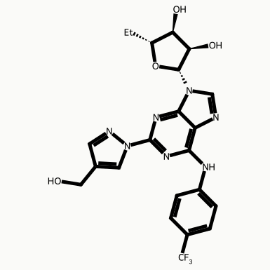 CC[C@H]1O[C@@H](n2cnc3c(Nc4ccc(C(F)(F)F)cc4)nc(-n4cc(CO)cn4)nc32)[C@H](O)[C@@H]1O